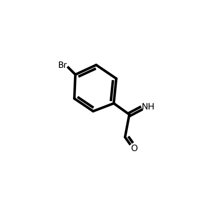 N=C(C=O)c1ccc(Br)cc1